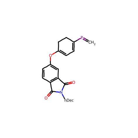 C=PC1=CC=C(Oc2ccc3c(c2)C(=O)N(CCCCCCCCCC)C3=O)CC1